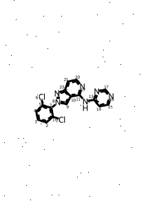 Clc1cccc(Cl)c1-n1cc2c(Nc3ccncn3)nccc2n1